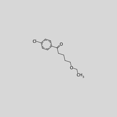 CCOCCCCC(=O)c1ccc(Cl)cc1